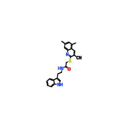 Cc1cc(C)c2cc(C#N)c(SCC(=O)NCCc3c[nH]c4ccccc34)nc2c1